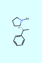 CC(=O)N1CCC[C@H]1C(C)c1ccccc1